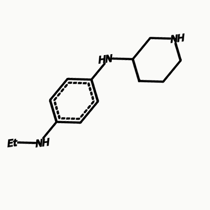 CCNc1ccc(NC2CCCNC2)cc1